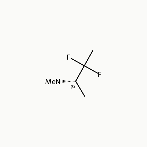 CN[C@@H](C)C(C)(F)F